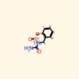 NC(=O)N(Cc1ccccc1)[SH](=O)=O